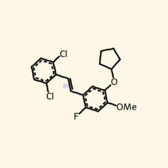 COc1cc(F)c(/C=C/c2c(Cl)cccc2Cl)cc1OC1CCCC1